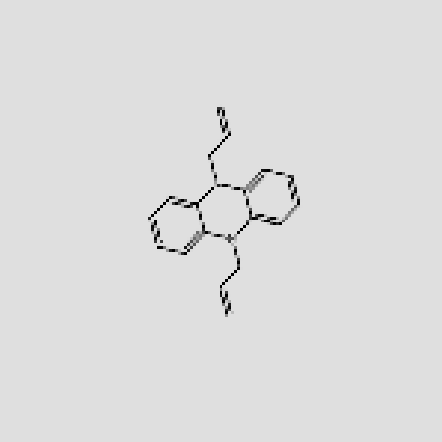 C=CCN1c2ccccc2N(CC=C)c2ccccc21